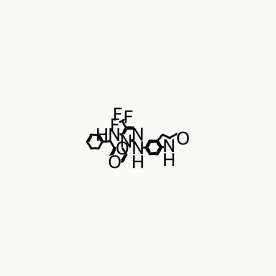 O=CC1Cc2cc(Nc3ncc(C(F)(F)F)c(NC(C4=CC=CCC4)C4=COC=CO4)n3)ccc2N1